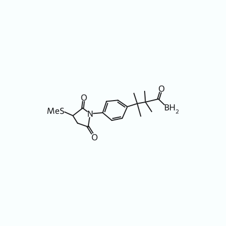 BC(=O)C(C)(C)C(C)(C)c1ccc(N2C(=O)CC(SC)C2=O)cc1